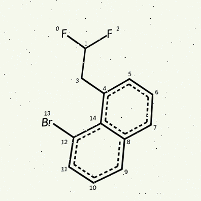 FC(F)Cc1cccc2cccc(Br)c12